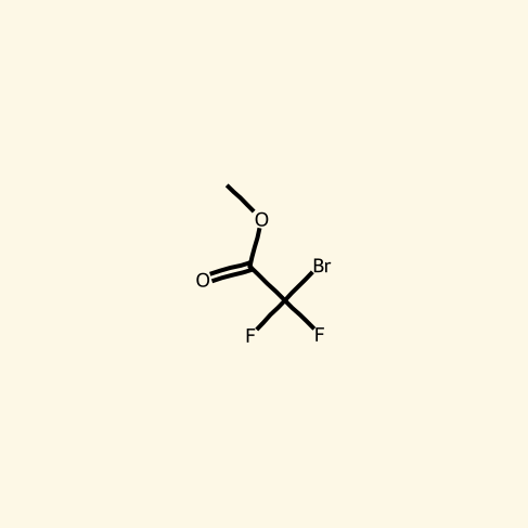 COC(=O)C(F)(F)Br